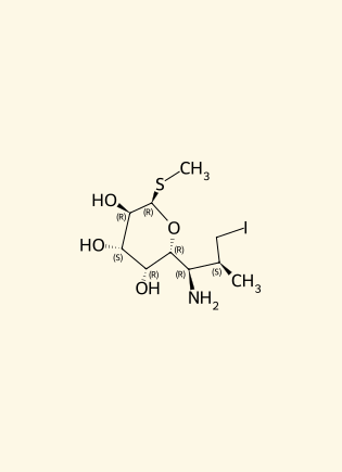 CS[C@H]1O[C@H]([C@H](N)[C@H](C)CI)[C@H](O)[C@H](O)[C@H]1O